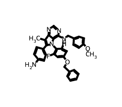 COc1ccc(CNc2ncnc3c(C)c(-c4ccc(N)cc4)n(-c4c(F)cc(OCc5ccccc5)cc4F)c23)cc1